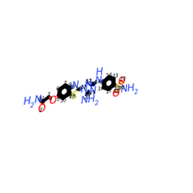 NC(=O)COc1ccc2nc(-n3nc(Nc4ccc(S(N)(=O)=O)cc4)nc3N)sc2c1